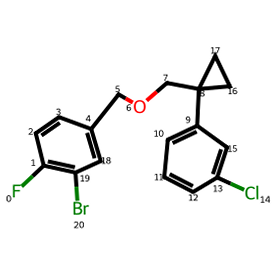 Fc1ccc(COCC2(c3cccc(Cl)c3)CC2)cc1Br